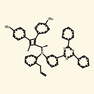 C=CCc1ccccc1N(c1cccc(-c2nc(-c3ccccc3)nc(-c3ccccc3)n2)c1)[C@H](C)C1=C(c2ccc(C(C)(C)C)cc2)C(c2ccc(C(C)(C)C)cc2)=C1C